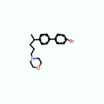 CC(CCCN1CCOCC1)c1ccc(-c2ccc(Br)cc2)cc1